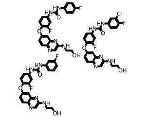 O=C(Nc1ccc(F)cc1)Nc1ccc(Oc2ccc3ncc(NCCO)nc3c2)c(F)c1.O=C(Nc1ccc(Oc2ccc3ncc(NCCO)nc3c2)c(F)c1)Nc1ccc(F)c(Cl)c1.O=C(Nc1cccc(F)c1)Nc1ccc(Oc2ccc3ncc(NCCO)nc3c2)c(F)c1